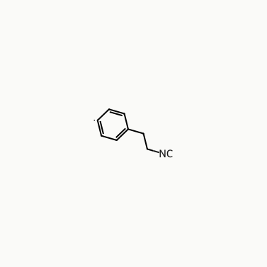 [C-]#[N+]CCc1cc[c]cc1